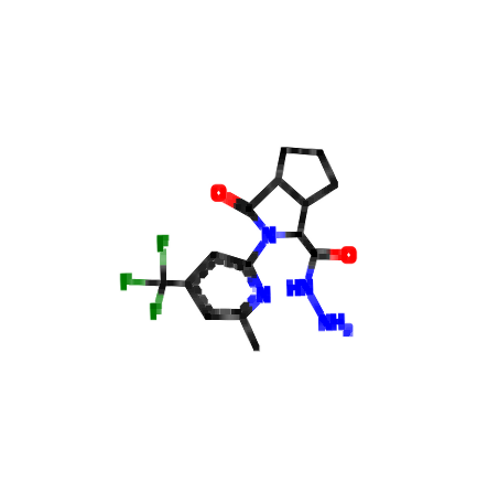 Cc1cc(C(F)(F)F)cc(N2C(=O)C3CCCC3C2C(=O)NN)n1